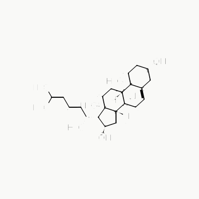 CC(C)CCC[C@@H](C)[C@H]1[C@H](O)C[C@H]2[C@@H]3CC=C4C[C@@H](O)CC[C@]4(C)[C@H]3CC[C@]12C